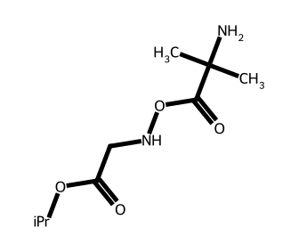 CC(C)OC(=O)CNOC(=O)C(C)(C)N